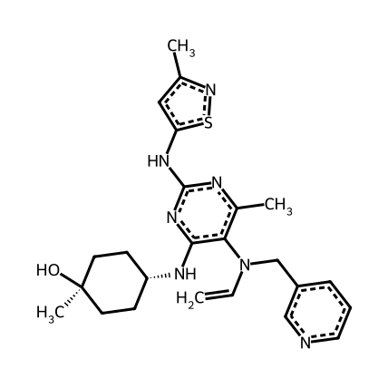 C=CN(Cc1cccnc1)c1c(C)nc(Nc2cc(C)ns2)nc1N[C@H]1CC[C@](C)(O)CC1